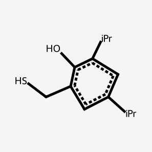 CC(C)c1cc(CS)c(O)c(C(C)C)c1